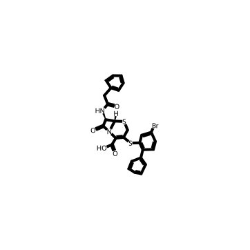 O=C(Cc1ccccc1)N[C@@H]1C(=O)N2C(C(=O)O)=C(Sc3cc(Br)ccc3-c3ccccc3)CS[C@@H]12